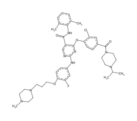 Cc1cccc(C)c1NC(=O)c1cnc(Nc2ccc(OCCCN3CCN(C)CC3)c(F)c2)nc1Oc1ccc(C(=O)N2CCN(C(C)C)CC2)cc1Cl